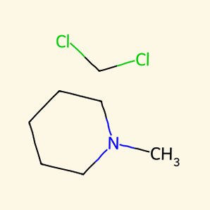 CN1CCCCC1.ClCCl